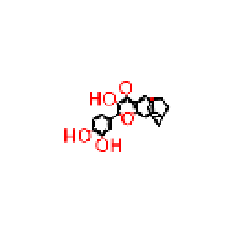 O=c1c(O)c(-c2ccc(O)c(O)c2)oc2cc(C34CCCC5C3C54)ccc12